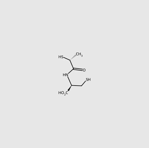 C[C@@H](S)C(=O)N[C@@H](CS)C(=O)O